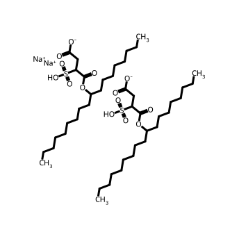 CCCCCCCCCC(CCCCCCCC)OC(=O)C(CC(=O)[O-])S(=O)(=O)O.CCCCCCCCCC(CCCCCCCC)OC(=O)C(CC(=O)[O-])S(=O)(=O)O.[Na+].[Na+]